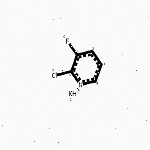 Fc1cccnc1Cl.[KH]